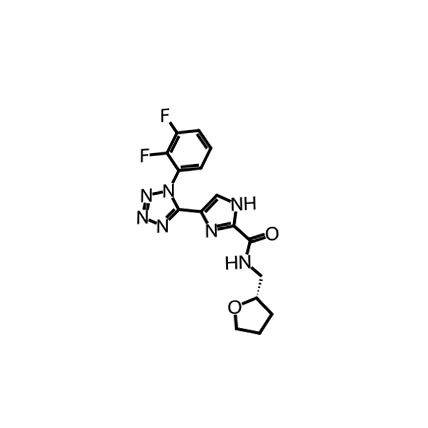 O=C(NC[C@@H]1CCCO1)c1nc(-c2nnnn2-c2cccc(F)c2F)c[nH]1